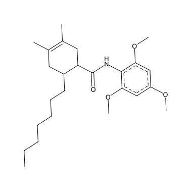 CCCCCCCC1CC(C)=C(C)CC1C(=O)Nc1c(OC)cc(OC)cc1OC